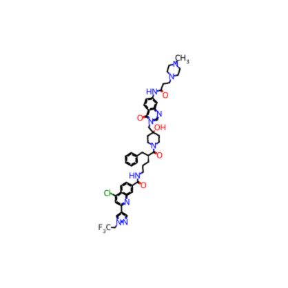 CN1CCN(CCC(=O)Nc2ccc3c(=O)n(CC4(O)CCN(C(=O)[C@@H](CCCNC(=O)c5ccc6c(Cl)cc(-c7cnn(CC(F)(F)F)c7)nc6c5)Cc5ccccc5)CC4)cnc3c2)CC1